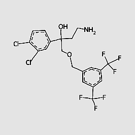 NCCC(O)(COCc1cc(C(F)(F)F)cc(C(F)(F)F)c1)c1ccc(Cl)c(Cl)c1